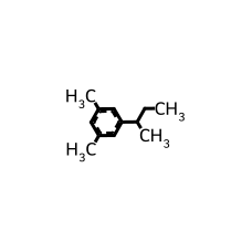 CCC(C)c1cc(C)cc(C)c1